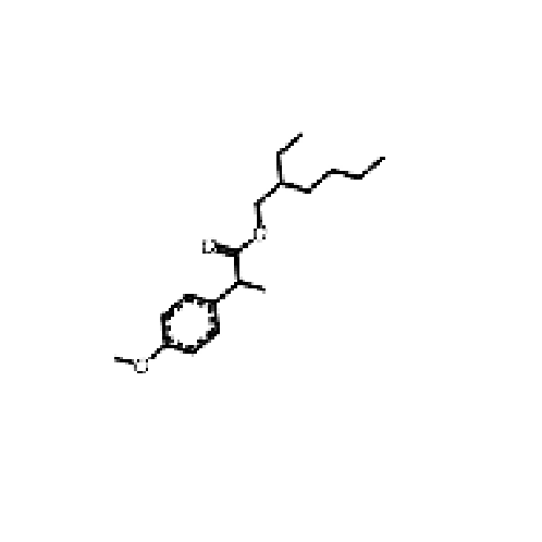 CCCCC(CC)COC(=O)C(C)c1ccc(OC)cc1